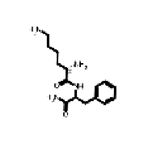 NCCCC[C@H](N)C(=O)NC(Cc1ccccc1)C(N)=O